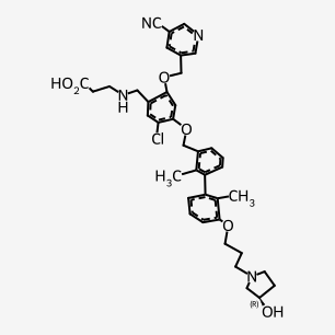 Cc1c(COc2cc(OCc3cncc(C#N)c3)c(CNCCC(=O)O)cc2Cl)cccc1-c1cccc(OCCCN2CC[C@@H](O)C2)c1C